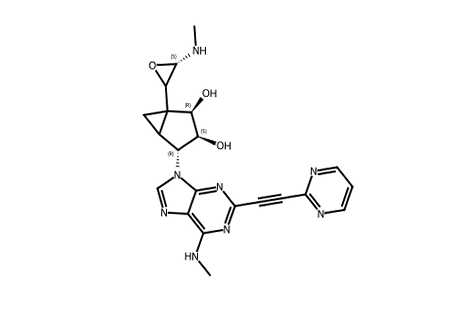 CNc1nc(C#Cc2ncccn2)nc2c1ncn2[C@@H]1C2CC2(C2O[C@@H]2NC)[C@@H](O)[C@H]1O